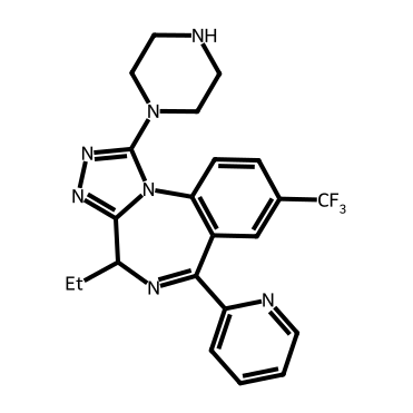 CCC1N=C(c2ccccn2)c2cc(C(F)(F)F)ccc2-n2c1nnc2N1CCNCC1